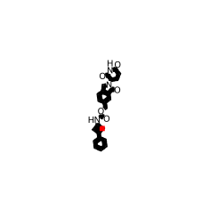 O=C1CCC(N2Cc3ccc(COC(=O)NC45CC(c6ccccc6)(C4)C5)cc3C2=O)C(=O)N1